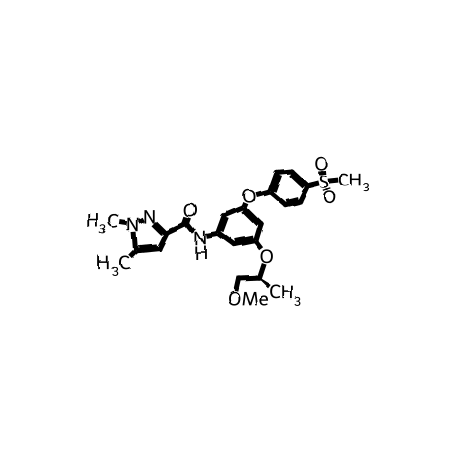 COC[C@H](C)Oc1cc(NC(=O)c2cc(C)n(C)n2)cc(Oc2ccc(S(C)(=O)=O)cc2)c1